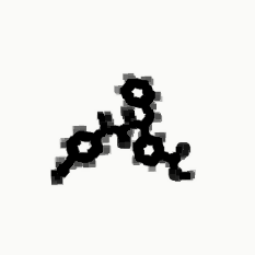 COC(=O)c1cccc(C(Cc2ccccc2)NC(=O)Nc2ccc(C#N)cc2)c1